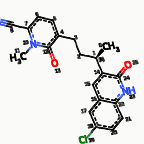 C[C@H](CCc1ccc(C#N)n(C)c1=O)c1cc2cc(Cl)ccc2[nH]c1=O